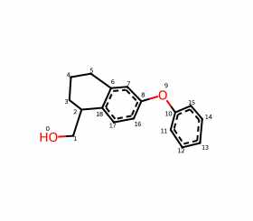 OCC1CCCc2cc(Oc3ccccc3)ccc21